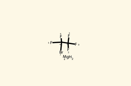 FC(F)(F)C(F)(F)Br.[MgH2]